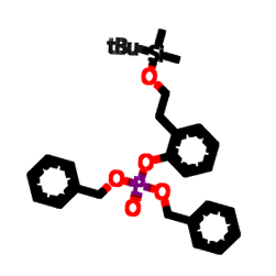 CC(C)(C)[Si](C)(C)OCCc1ccccc1OP(=O)(OCc1ccccc1)OCc1ccccc1